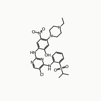 CCN1CCN(c2cc(O)c(Nc3ncc(Cl)c(Nc4ccccc4S(=O)(=O)C(C)C)n3)cc2[N+](=O)[O-])CC1